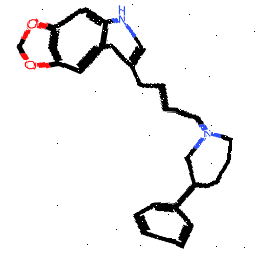 c1ccc(C2CCCN(CCCCc3c[nH]c4cc5c(cc34)OCO5)C2)cc1